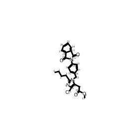 CCCCc1nc(Cl)c(CC(=O)OC)n1Cc1ccc(N2C(=O)c3ccccc3C2=O)cc1